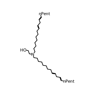 CCCCCC=CCC=CCCCCCCCCN(CCO)CCCCCCCCC=CCC=CCCCCC